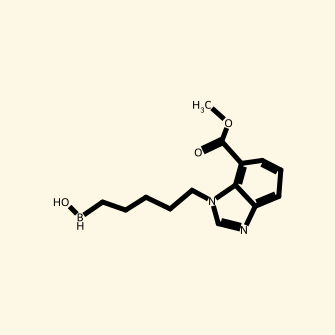 COC(=O)c1cccc2ncn(CCCCCBO)c12